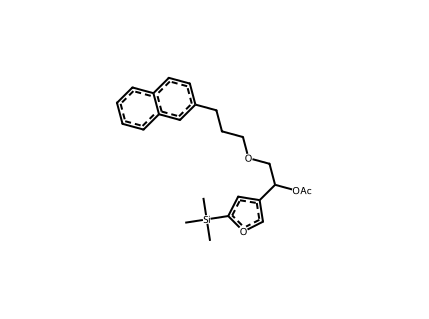 CC(=O)OC(COCCCc1ccc2ccccc2c1)c1coc([Si](C)(C)C)c1